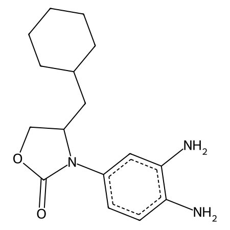 Nc1ccc(N2C(=O)OCC2CC2CCCCC2)cc1N